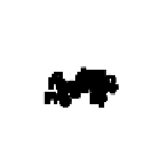 C=C(C)C(=O)OCC(COC(=O)C(C)C)OC(=O)Nc1ccc(C)c(NC(=O)OC(COC(=O)C(=C)C)COC(=O)C(=C)C)c1